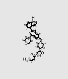 C/C=C\C(=O)NCC(=O)N1CCN(Cc2cc3c(N4CCOCC4)nc(-c4cccc5[nH]ncc45)nn3c2)CC1